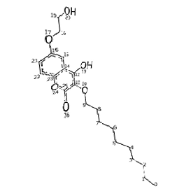 CCCCCCCCCCOc1c(O)c2cc(OCCO)ccc2oc1=O